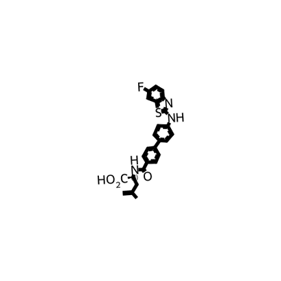 C=C(C)C[C@H](NC(=O)c1ccc(-c2ccc(Nc3nc4ccc(F)cc4s3)cc2)cc1)C(=O)O